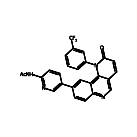 CC(=O)Nc1ccc(-c2ccc3ncc4ccc(=O)n(-c5cccc(C(F)(F)F)c5)c4c3c2)cn1